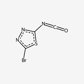 O=C=Nc1nnc(Br)s1